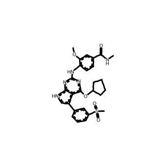 CNC(=O)c1ccc(Nc2nc(OC3CCCC3)c3c(-c4cccc(S(C)(=O)=O)c4)c[nH]c3n2)c(OC)c1